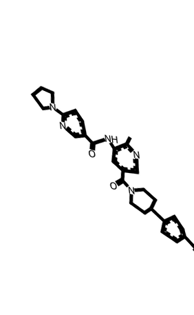 C#Cc1ccc(C2CCN(C(=O)c3cnc(C)c(NC(=O)c4ccc(N5CCCC5)nc4)c3)CC2)cc1